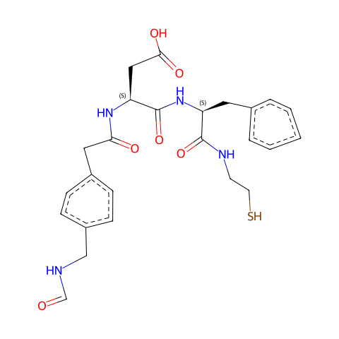 O=CNCc1ccc(CC(=O)N[C@@H](CC(=O)O)C(=O)N[C@@H](Cc2ccccc2)C(=O)NCCS)cc1